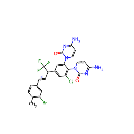 Cc1ccc(/C=C/C(c2cc(Cl)c(-n3ccc(N)nc3=O)c(-n3ccc(N)nc3=O)c2)C(F)(F)F)cc1Br